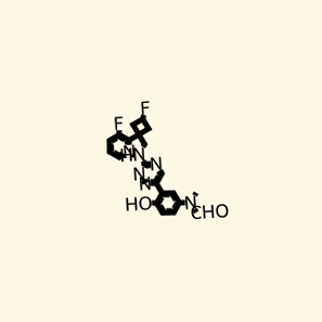 CN(C=O)c1ccc(O)c(-c2cnc(NCC3(c4ncccc4F)CC(F)C3)nn2)c1